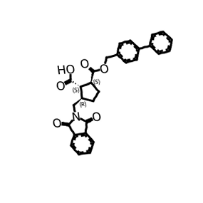 O=C(O)[C@H]1[C@H](CN2C(=O)c3ccccc3C2=O)CC[C@@H]1C(=O)OCc1ccc(-c2ccccc2)cc1